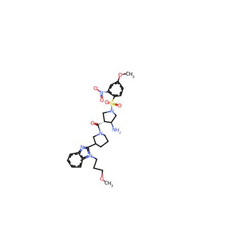 COCCCn1c(C2CCCN(C(=O)[C@@H]3CN(S(=O)(=O)c4ccc(OC)cc4[N+](=O)[O-])C[C@H]3N)C2)nc2ccccc21